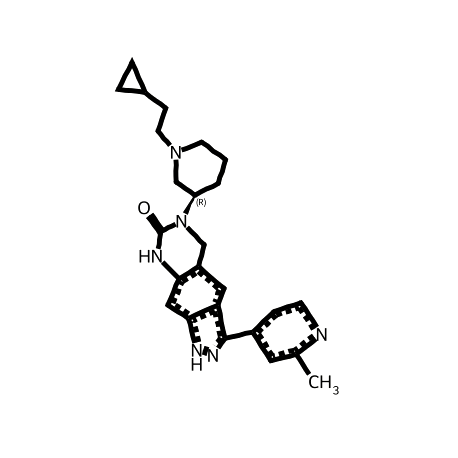 Cc1cc(-c2n[nH]c3cc4c(cc23)CN([C@@H]2CCCN(CCC3CC3)C2)C(=O)N4)ccn1